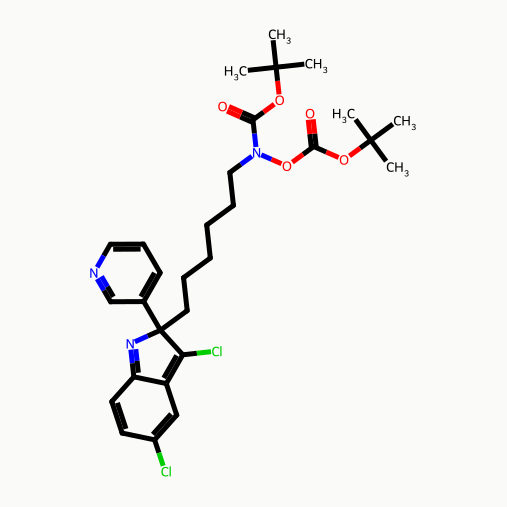 CC(C)(C)OC(=O)ON(CCCCCCC1(c2cccnc2)N=c2ccc(Cl)cc2=C1Cl)C(=O)OC(C)(C)C